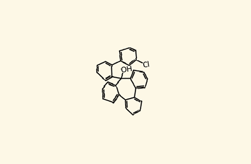 OC1(c2ccccc2-c2cccc(Cl)c2)c2ccccc2-c2ccccc2-c2ccccc21